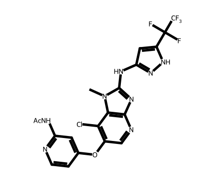 CC(=O)Nc1cc(Oc2cnc3nc(Nc4cc(C(F)(F)C(F)(F)F)[nH]n4)n(C)c3c2Cl)ccn1